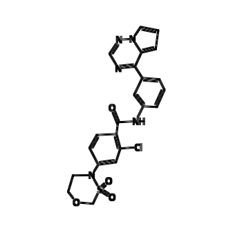 O=C(Nc1cccc(-c2ncnn3cccc23)c1)c1ccc(N2CCOCS2(=O)=O)cc1Cl